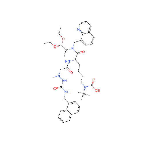 CCOC(OCC)C(C)N(Cc1cccc2cccnc12)C(=O)C(CCCCN(C(=O)O)C(C)(C)C)NC(=O)CN(C)NC(=O)NCc1cccc2ccccc12